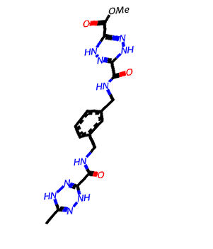 COC(=O)C1=NNC(C(=O)NCc2cccc(CNC(=O)C3=NNC(C)=NN3)c2)=NN1